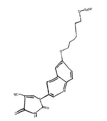 CSOCCCCCOc1ccc2ncc(-n3cc(C#N)c(=O)[nH]c3=O)cc2c1